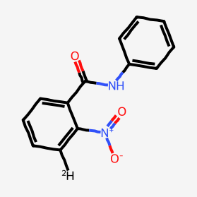 [2H]c1cccc(C(=O)Nc2ccccc2)c1[N+](=O)[O-]